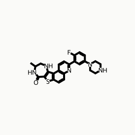 CC1CNc2c(sc3ccc4nc(-c5cc(N6CCNCC6)ccc5F)ccc4c23)C(=O)N1